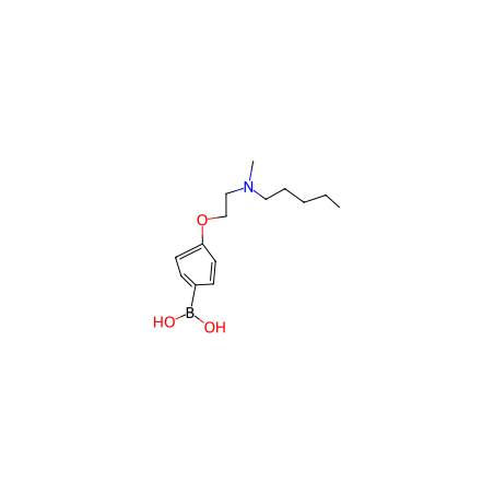 CCCCCN(C)CCOc1ccc(B(O)O)cc1